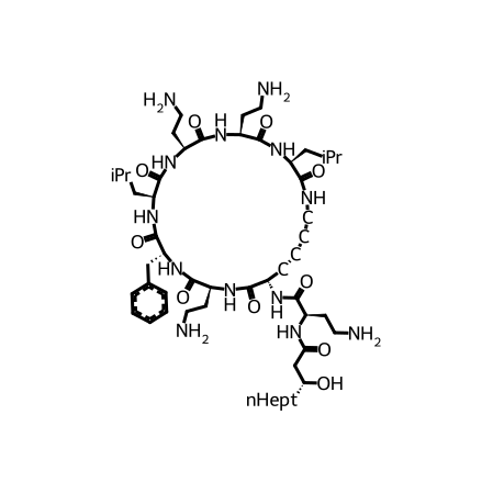 CCCCCCC[C@@H](O)CC(=O)N[C@H](CCN)C(=O)N[C@H]1CCCCNC(=O)[C@H](CC(C)C)NC(=O)[C@H](CCN)NC(=O)[C@H](CCN)NC(=O)[C@H](CC(C)C)NC(=O)[C@@H](Cc2ccccc2)NC(=O)[C@H](CCN)NC1=O